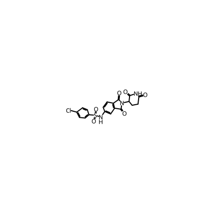 O=C1CCC(N2C(=O)c3ccc(NS(=O)(=O)c4ccc(Cl)cc4)cc3C2=O)C(=O)N1